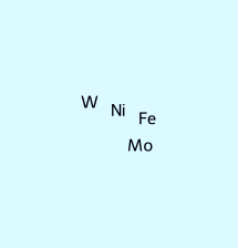 [Fe].[Mo].[Ni].[W]